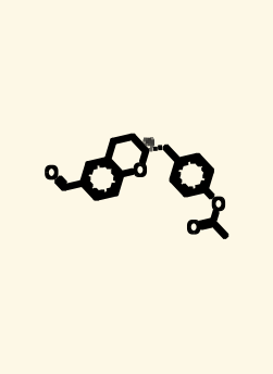 CC(=O)Oc1ccc(C[C@H]2CCc3cc(C=O)ccc3O2)cc1